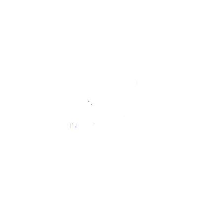 CCC(C)CN1CCNC1